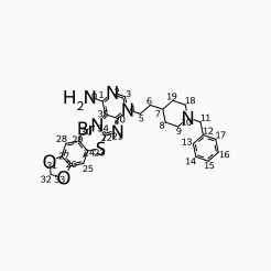 Nc1ncn(CCC2CCN(Cc3ccccc3)CC2)c2nc(Sc3cc4c(cc3Br)OCO4)nc1-2